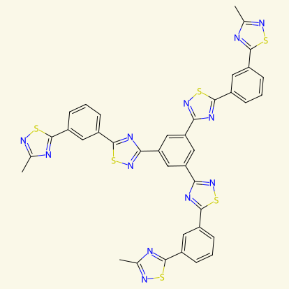 Cc1nsc(-c2cccc(-c3nc(-c4cc(-c5nsc(-c6cccc(-c7nc(C)ns7)c6)n5)cc(-c5nsc(-c6cccc(-c7nc(C)ns7)c6)n5)c4)ns3)c2)n1